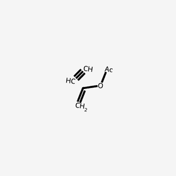 C#C.C=COC(C)=O